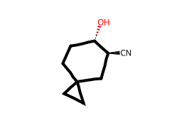 N#C[C@H]1CC2(CC[C@@H]1O)CC2